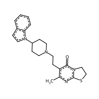 Cc1nc2n(c(=O)c1CCN1CCC(n3ccc4ccccc43)CC1)CCS2